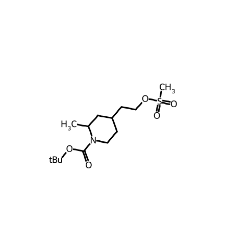 CC1CC(CCOS(C)(=O)=O)CCN1C(=O)OC(C)(C)C